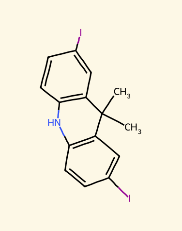 CC1(C)c2cc(I)ccc2Nc2ccc(I)cc21